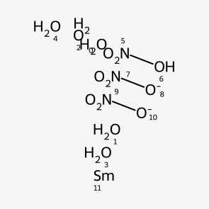 O.O.O.O.O.O=[N+]([O-])O.O=[N+]([O-])[O-].O=[N+]([O-])[O-].[Sm]